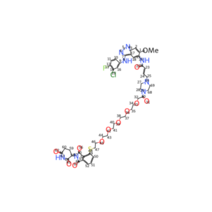 COc1cc2ncnc(Nc3ccc(F)c(Cl)c3)c2cc1NC(=O)/C=C/CN1CCN(C(=O)COCCOCCOCCOCCOCCSc2cccc3c2C(=O)N(C2CCC(=O)NC2=O)C3=O)CC1